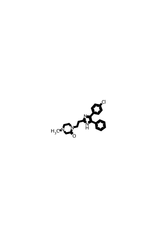 CN1CCN(CCc2nc(-c3ccc(Cl)cc3)c(-c3ccccc3)[nH]2)C(=O)C1